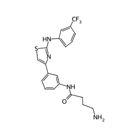 NCCCC(=O)Nc1cccc(-c2csc(Nc3cccc(C(F)(F)F)c3)n2)c1